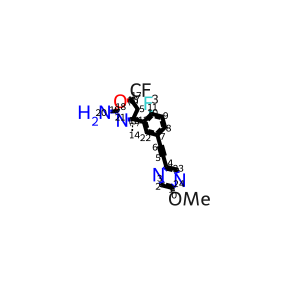 COc1cnc(C#Cc2ccc(F)c([C@]3(C)C[C@@H](C(F)(F)F)OC(N)=N3)c2)cn1